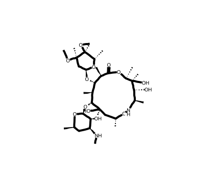 CN[C@H]1C[C@@H](C)O[C@@H](O[C@@H]2[C@@H](C)[C@H](O[C@H]3C[C@@](C)(OC)[C@]4(CO4)[C@H](C)O3)[C@@H](C)C(=O)O[C@H](C)[C@@](C)(O)[C@H](O)[C@@H](C)NC[C@H](C)C[C@@]2(C)O)[C@@H]1O